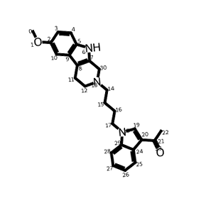 COc1ccc2[nH]c3c(c2c1)CCN(CCCCn1cc(C(C)=O)c2ccccc21)C3